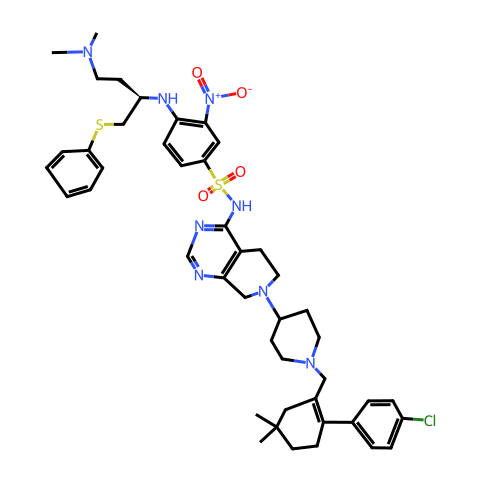 CN(C)CC[C@H](CSc1ccccc1)Nc1ccc(S(=O)(=O)Nc2ncnc3c2CCN(C2CCN(CC4=C(c5ccc(Cl)cc5)CCC(C)(C)C4)CC2)C3)cc1[N+](=O)[O-]